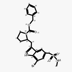 CNS(=O)(=O)Cc1cc(Br)c2[nH]cc(CC3CCCN3C(=O)OCc3ccccc3)c2c1